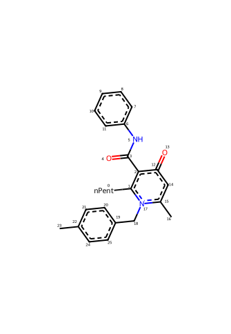 CCCCCc1c(C(=O)Nc2ccccc2)c(=O)cc(C)n1Cc1ccc(C)cc1